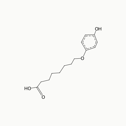 O=C(O)CCCCCCCOc1ccc(O)cc1